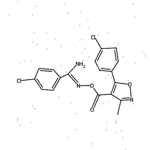 Cc1noc(-c2ccc(Cl)cc2)c1C(=O)O/N=C(\N)c1ccc(Cl)cc1